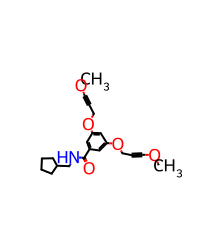 COC#CCOc1cc(OCC#COC)cc(C(=O)NCC2CCCC2)c1